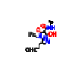 CC(C)Cn1c(=O)c(C(=O)NC2CC2)c(O)n2ncc(CCC=O)c12